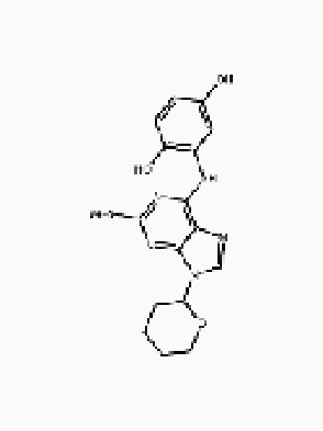 CSc1nc(Nc2cc(O)ccc2O)c2ncn(C3CCCCO3)c2n1